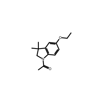 CCOc1ccc2c(c1)C(C)(C)CN2C(C)=O